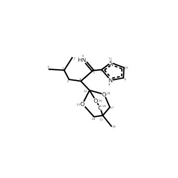 CC(C)CC(C(=N)c1nccs1)C12OCC(C)(CO1)CO2